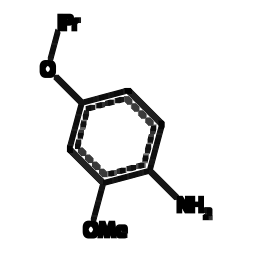 COc1cc(OC(C)C)ccc1N